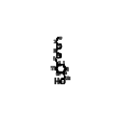 CCOCOCc1ccc(CO)cc1